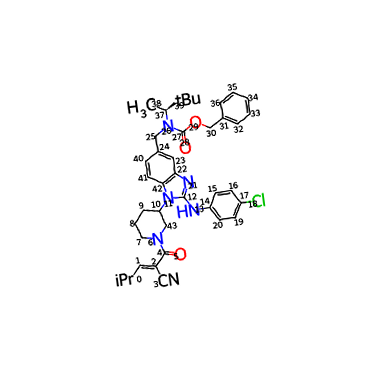 CC(C)C=C(C#N)C(=O)N1CCCC(n2c(Nc3ccc(Cl)cc3)nc3cc(CN(C(=O)OCc4ccccc4)[C@@H](C)C(C)(C)C)ccc32)C1